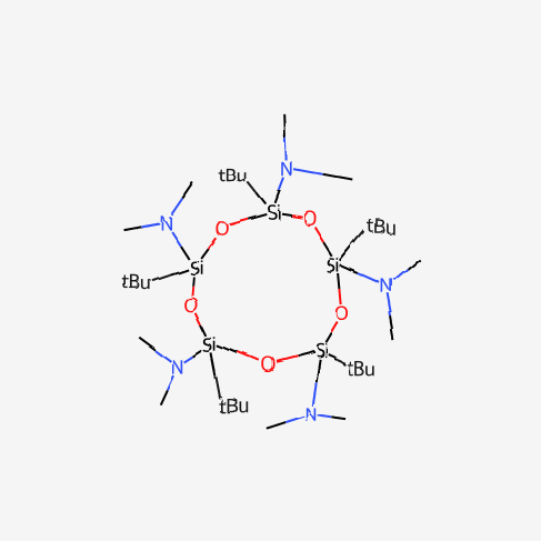 CN(C)[Si]1(C(C)(C)C)O[Si](N(C)C)(C(C)(C)C)O[Si](N(C)C)(C(C)(C)C)O[Si](N(C)C)(C(C)(C)C)O[Si](N(C)C)(C(C)(C)C)O1